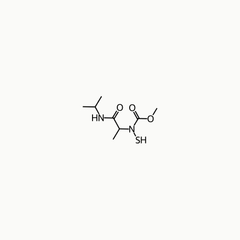 COC(=O)N(S)C(C)C(=O)NC(C)C